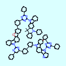 CC1(C)c2ccccc2N(c2ccccc2)c2cc3c4ccccc4n(-c4nc(-c5ccccc5)nc(-c5cccc(-c6ccc7c(c6)oc6c7ccc7c6c6ccccc6n7-c6nc(-c7ccccc7)cc(-c7cccc(-c8cccc(-n9c%10ccccc%10c%10c9ccc9c%11ncccc%11n(-c%11nc(-c%12ccccc%12)nc(-c%12ccccc%12)n%11)c9%10)c8)c7)n6)c5)n4)c3cc21